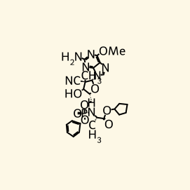 COc1nc(N)nc2c1ncn2[C@@H]1O[C@H](COP(=O)(N[C@@H](C)C(=O)OC2CCCC2)Oc2ccccc2)[C@@H](O)[C@@]1(C)C#N